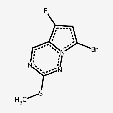 CSc1ncc2c(F)cc(Br)n2n1